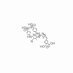 Cc1c(C#N)c(Nc2ccc(S(=O)(=O)O)cc2)nc(Nc2ccc(S(=O)(=O)O)cc2)c1N=Nc1nnc(Sc2ccc(C(=O)O)c(C(=O)O)c2)s1